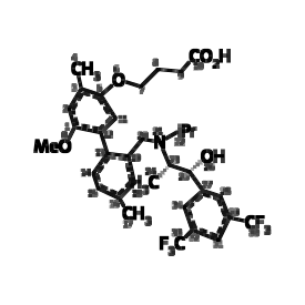 COc1cc(C)c(OCCCC(=O)O)cc1-c1ccc(C)cc1CN(C(C)C)[C@@H](C)[C@H](O)c1cc(C(F)(F)F)cc(C(F)(F)F)c1